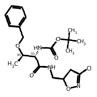 C[C@@H](OCc1ccccc1)[C@H](NC(=O)OC(C)(C)C)C(=O)NCC1CC(Cl)=NO1